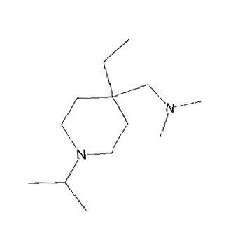 CCC1(CN(C)C)CCN(C(C)C)CC1